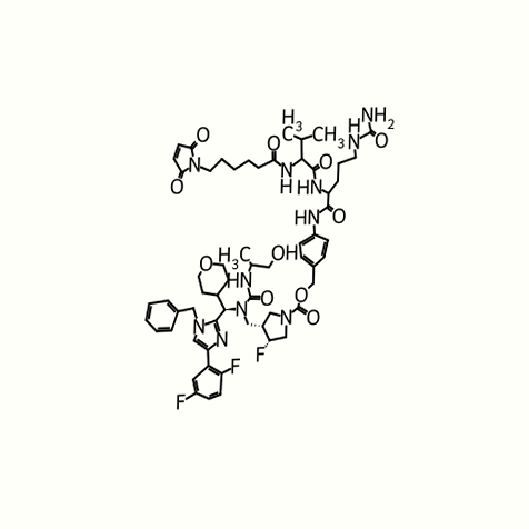 CC(CO)NC(=O)N(C[C@@H]1CN(C(=O)OCc2ccc(NC(=O)C(CCCNC(N)=O)NC(=O)C(NC(=O)CCCCCN3C(=O)C=CC3=O)C(C)C)cc2)C[C@@H]1F)[C@@H](c1nc(-c2cc(F)ccc2F)cn1Cc1ccccc1)C1CCOCC1